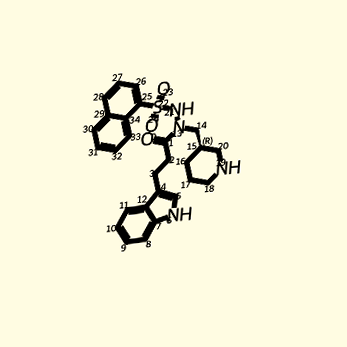 O=C(CCc1c[nH]c2ccccc12)N(C[C@@H]1CCCNC1)NS(=O)(=O)c1cccc2ccccc12